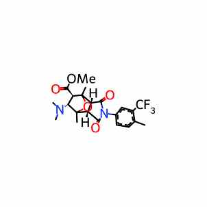 COC(=O)[C@@H]1[C@@H](N(C)C)C2(C)OC1(C)[C@@H]1C(=O)N(c3ccc(C)c(C(F)(F)F)c3)C(=O)[C@@H]12